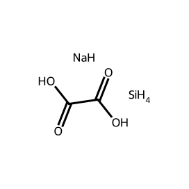 O=C(O)C(=O)O.[NaH].[SiH4]